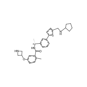 Cc1ccc(OC2CNC2)cc1C(=O)N[C@H](C)c1cccc(-c2ccc(CNC3CCCC3)s2)c1